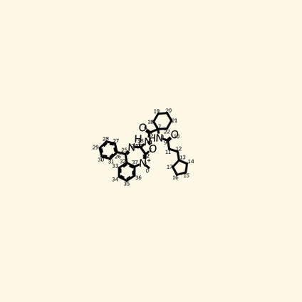 C[N+]1=C2ON(C(=O)C3(NC(=O)CCC4CCCC4)CCCCC3)[C@@H]2N=C(c2ccccc2)c2ccccc21